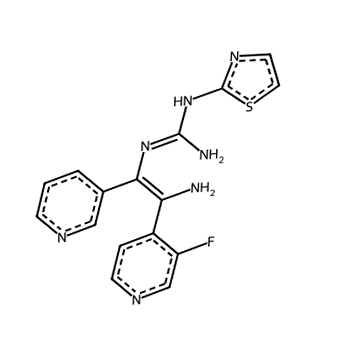 N/C(=C(\N=C(/N)Nc1nccs1)c1cccnc1)c1ccncc1F